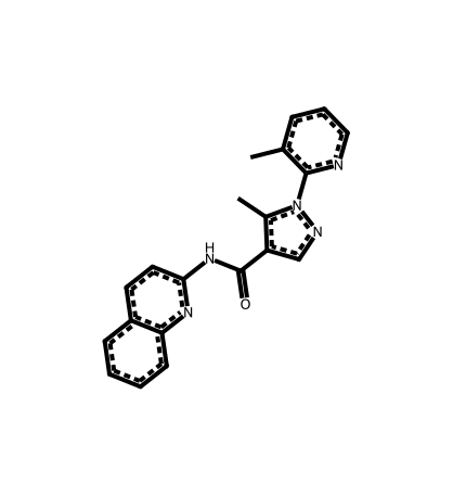 Cc1cccnc1-n1ncc(C(=O)Nc2ccc3ccccc3n2)c1C